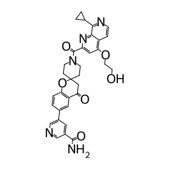 NC(=O)c1cncc(-c2ccc3c(c2)C(=O)CC2(CCN(C(=O)c4cc(OCCO)c5ccnc(C6CC6)c5n4)CC2)O3)c1